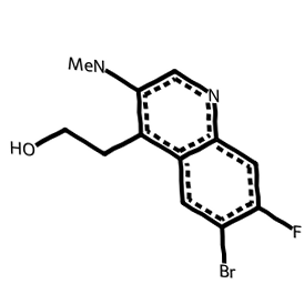 CNc1cnc2cc(F)c(Br)cc2c1CCO